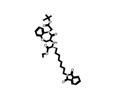 CCOC(=O)[C@H](CCCCCCCCN1C(=O)c2ccccc2C1=O)NC1COc2ccccc2N(CC(=O)OC(C)(C)C)C1=O